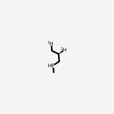 [2H]C[C@@H]([2H])CPC